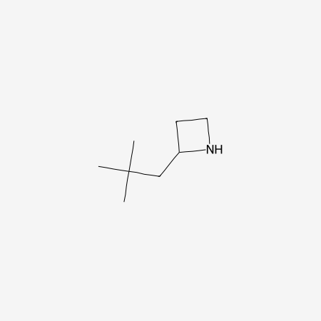 CC(C)(C)CC1CCN1